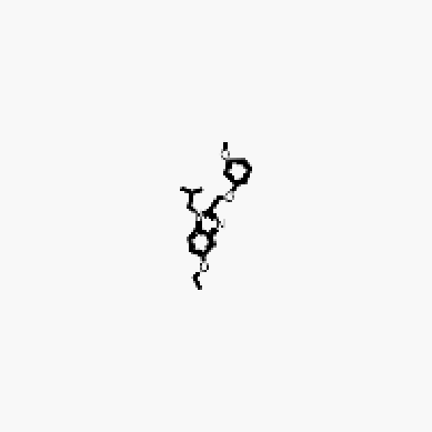 CCOc1ccc2c(c1)nc(COc1cccc(OC)c1)n2CC(C)C